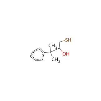 CC(C)(c1ccccc1)C(O)CS